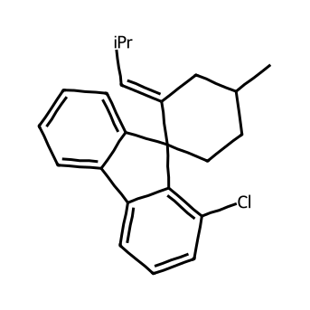 CC(C)/C=C1\CC(C)CCC12c1ccccc1-c1cccc(Cl)c12